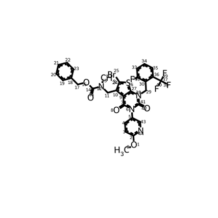 COc1ccc(-n2c(=O)c3c(CN(C)C(=O)OCc4ccccc4)c(Br)sc3n(Cc3c(F)cccc3C(F)(F)F)c2=O)cn1